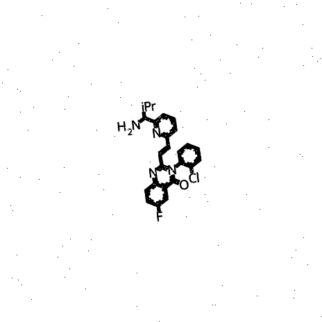 CC(C)C(N)c1cccc(/C=C/c2nc3ccc(F)cc3c(=O)n2-c2ccccc2Cl)n1